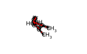 CCCCCCCCCOC(=O)CCCCCCC(=O)OCC(CO)(COC(=O)CC12CC3CC(CC(C3)C1)C2)COC(O)CCCCCCC(=O)OCCCCCCCCC